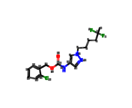 CC(F)(F)CCCCn1cc(NC(=O)OCc2ccccc2Cl)cn1